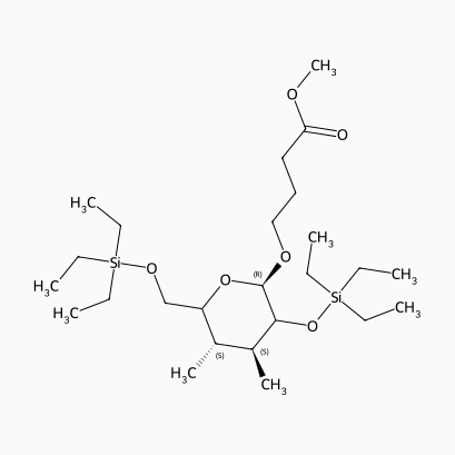 CC[Si](CC)(CC)OCC1O[C@@H](OCCCC(=O)OC)C(O[Si](CC)(CC)CC)[C@@H](C)[C@@H]1C